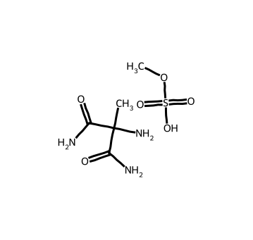 CC(N)(C(N)=O)C(N)=O.COS(=O)(=O)O